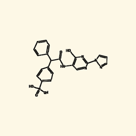 O=C(Nc1cnc(-n2cccn2)nc1O)C(c1ccccc1)c1ccc(P(=O)(O)O)cc1